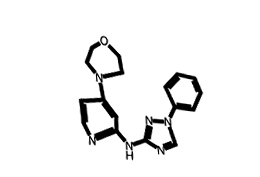 c1ccc(-n2cnc(Nc3cc(N4CCOCC4)ccn3)n2)cc1